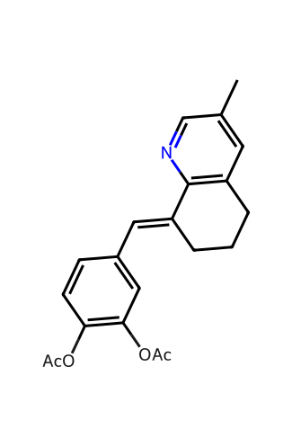 CC(=O)Oc1ccc(C=C2CCCc3cc(C)cnc32)cc1OC(C)=O